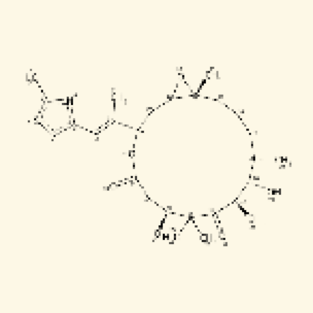 C/C(=C\c1csc(C)n1)[C@@H]1CC2O[C@]2(C)CCC[C@H](C)[C@H](O)[C@@H](C)C(=O)C(C)(C)[C@@H](O)CC(=O)O1